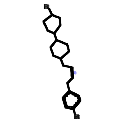 CCc1ccc(C/C=C\CC2CCC(C3CCC(CC)CC3)CC2)cc1